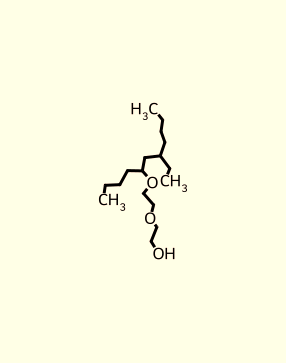 CCCCC(CC)CC(CCCC)OCCOCCO